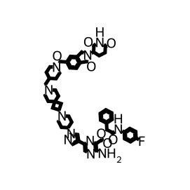 Nc1ncc(-c2cnn(C3CCN(C4CC5(CCN(CC6CCN(C(=O)c7ccc8c(c7)CN(C7CCC(=O)NC7=O)C8=O)CC6)CC5)C4)CC3)c2)nc1C(=O)O[C@@H](C(=O)Nc1ccc(F)cc1)c1ccccc1